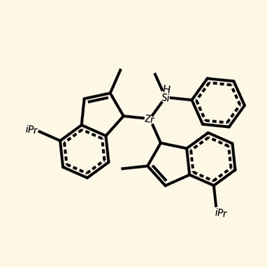 CC1=Cc2c(C(C)C)cccc2[CH]1[Zr]([CH]1C(C)=Cc2c(C(C)C)cccc21)[SiH](C)c1ccccc1